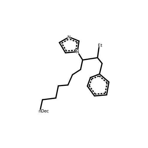 CCCCCCCCCCCCCCCCC(C(CC)Cc1ccccc1)n1ccnc1